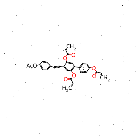 C=CC(=O)Oc1ccc(-c2cc(OC(=O)C=C)c(C#Cc3ccc(OC(C)=O)cc3)cc2OC(=O)C=C)cc1